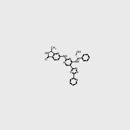 CC1NC(=O)c2ccc(Nc3ncc(-c4nnc(-c5ccccn5)o4)c(N[C@H](CO)c4ccccc4)n3)nc21